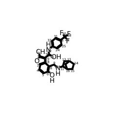 Cc1oc2ccc(O)c(CNC3CC4CCC3C4)c2c1C(O)Nc1ccc(C(F)(F)F)cc1